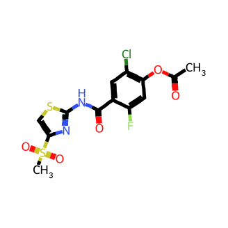 CC(=O)Oc1cc(F)c(C(=O)Nc2nc(S(C)(=O)=O)cs2)cc1Cl